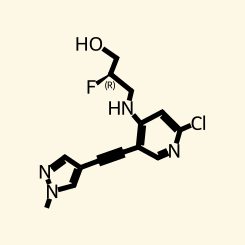 Cn1cc(C#Cc2cnc(Cl)cc2NC[C@@H](F)CO)cn1